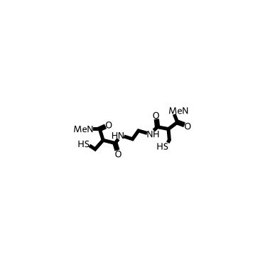 CNC(=O)C(CS)C(=O)NCCNC(=O)C(CS)C(=O)NC